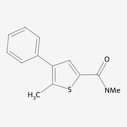 CNC(=O)c1cc(-c2ccccc2)c(C)s1